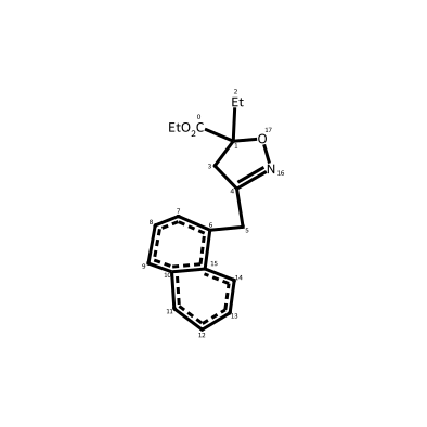 CCOC(=O)C1(CC)CC(Cc2cccc3ccccc23)=NO1